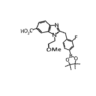 COCCn1c(Cc2ccc(B3OC(C)(C)C(C)(C)O3)cc2F)nc2ccc(C(=O)O)cc21